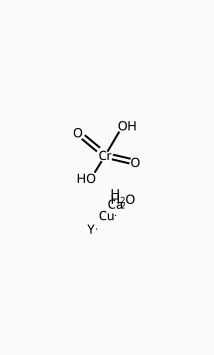 O.[CaH2].[Cu].[O]=[Cr](=[O])([OH])[OH].[Y]